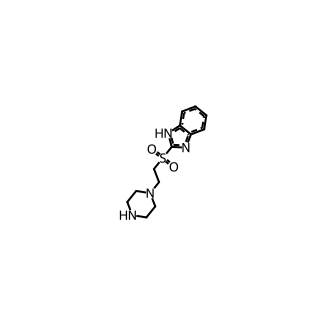 O=S(=O)(CCN1CCNCC1)c1nc2ccccc2[nH]1